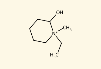 CC[N+]1(C)CCCCC1O